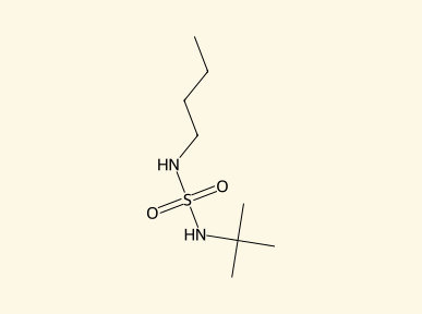 CCCCNS(=O)(=O)NC(C)(C)C